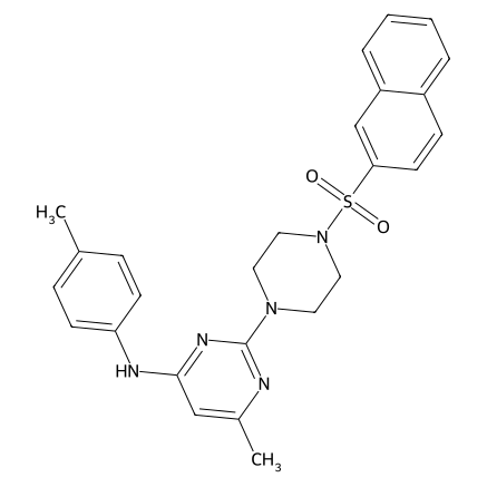 Cc1ccc(Nc2cc(C)nc(N3CCN(S(=O)(=O)c4ccc5ccccc5c4)CC3)n2)cc1